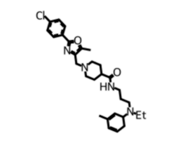 CCN(CCCNC(=O)C1CCN(Cc2nc(-c3ccc(Cl)cc3)oc2C)CC1)C1C=C(C)C=CC1